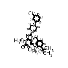 Cn1c(=O)c2c(nc(N3CCN(c4cccc(Cl)c4)CC3)n2Cc2ccc(C(C)(C)C)cc2)n(C)c1=O